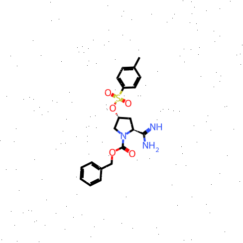 Cc1ccc(S(=O)(=O)O[C@@H]2C[C@@H](C(=N)N)N(C(=O)OCc3ccccc3)C2)cc1